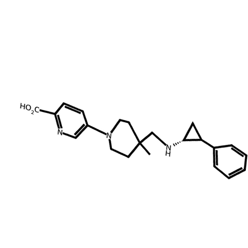 CC1(CN[C@@H]2CC2c2ccccc2)CCN(c2ccc(C(=O)O)nc2)CC1